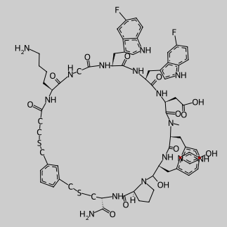 CN1C(=O)[C@H](CC(=O)O)NC(=O)[C@H](Cc2c[nH]c3ccc(F)cc23)NC(=O)[C@H](Cc2c[nH]c3ccc(F)cc23)NC(=O)CNC(=O)[C@H](CCCCN)NC(=O)CCSCc2cccc(c2)CSC[C@@H](C(N)=O)NC(=O)[C@@H]2CCCN2C(O)[C@H](Cc2ccc(O)cc2)NC(=O)[C@@H]1Cc1c[nH]cn1